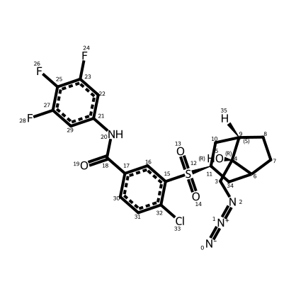 [N-]=[N+]=NC[C@@]1(O)C2CC[C@H]1C[C@H](S(=O)(=O)c1cc(C(=O)Nc3cc(F)c(F)c(F)c3)ccc1Cl)C2